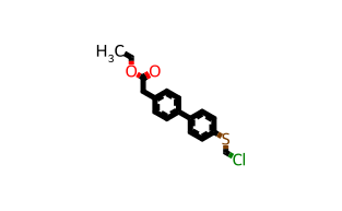 CCOC(=O)Cc1ccc(-c2ccc(SCCl)cc2)cc1